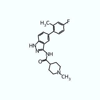 Cc1cc(F)ccc1-c1ccc2[nH]nc(NC(=O)C3CCN(C)CC3)c2c1